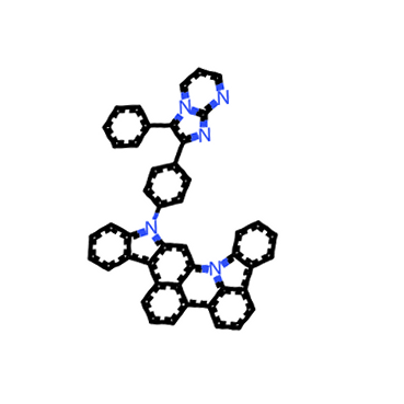 c1ccc(-c2c(-c3ccc(-n4c5ccccc5c5c6cccc7c8cccc9c%10ccccc%10n(c(cc54)c76)c89)cc3)nc3ncccn23)cc1